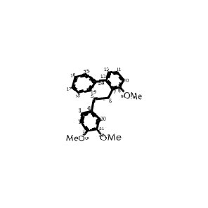 COc1ccc(CCc2c(OC)cccc2-c2ccccc2)cc1OC